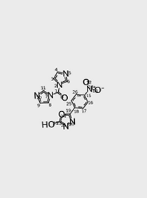 O=C(n1ccnc1)n1ccnc1.O=[N+]([O-])c1ccc(-c2nnc(O)o2)cc1